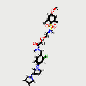 COc1cc(C)c(S(=O)(=O)N(C)CCOCC(=O)N(C)Cc2ccc(N3CCC(N4CCCC4)C3)cc2Cl)c(C)c1